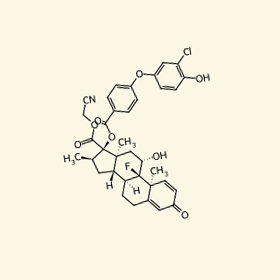 C[C@@H]1C[C@H]2[C@@H]3CCC4=CC(=O)C=C[C@]4(C)[C@@]3(F)[C@@H](O)C[C@]2(C)[C@@]1(OC(=O)c1ccc(Oc2ccc(O)c(Cl)c2)cc1)C(=O)OCC#N